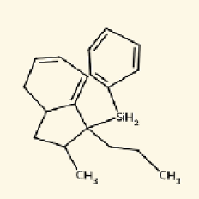 CCCC1([SiH2]c2ccccc2)C2=CC=CCC2CC1C